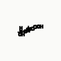 Cc1cc(OCCNC(C)O)nn1-c1ccc2cc(O)ccc2c1